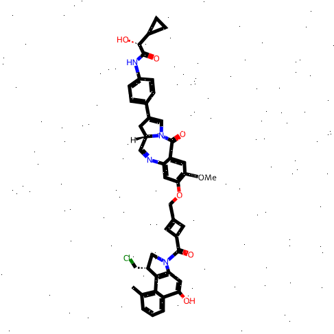 COc1cc2c(cc1OCC1=CC(C(=O)N3C[C@@H](CCl)c4c3cc(O)c3cccc(C)c43)C1)N=C[C@@H]1CC(c3ccc(NC(=O)[C@H](O)C4CC4)cc3)=CN1C2=O